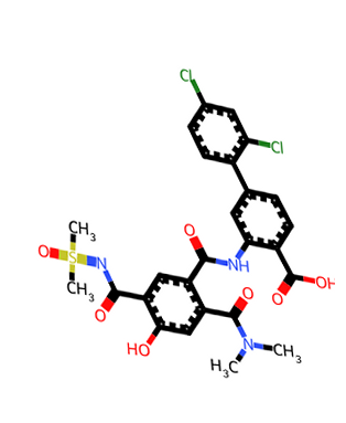 CN(C)C(=O)c1cc(O)c(C(=O)N=S(C)(C)=O)cc1C(=O)Nc1cc(-c2ccc(Cl)cc2Cl)ccc1C(=O)O